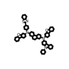 c1ccc(-n2c3ccccc3c3cc(N(c4ccc5c(ccc6cc(N(c7ccc(-c8nc9ccccc9s8)cc7)c7ccc8c(c7)oc7ccccc78)ccc65)c4)c4ccc5c(c4)oc4ccccc45)ccc32)cc1